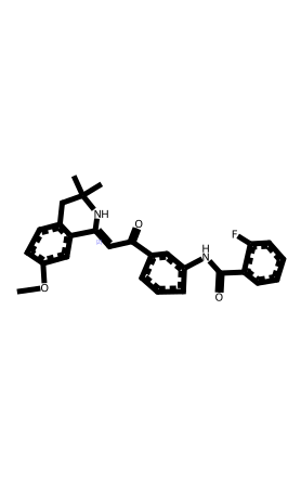 COc1ccc2c(c1)/C(=C/C(=O)c1cccc(NC(=O)c3ccccc3F)c1)NC(C)(C)C2